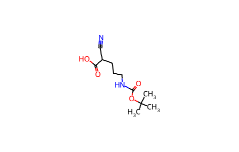 CC(C)(C)OC(=O)NCCCC(C#N)C(=O)O